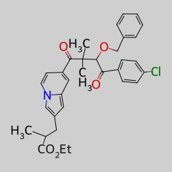 CCOC(=O)C(C)Cc1cc2cc(C(=O)C(C)(C)C(OCc3ccccc3)C(=O)c3ccc(Cl)cc3)ccn2c1